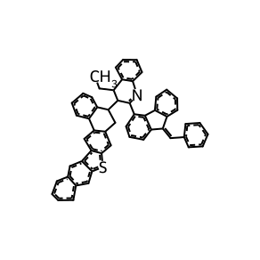 CCC1c2ccccc2N=C(c2cccc3c2-c2ccccc2/C3=C\c2ccccc2)C1C1Cc2cc3sc4cc5ccccc5cc4c3cc2-c2ccccc21